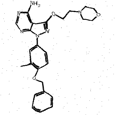 Cc1cc(-n2nc(OCCN3CCOCC3)c3c(N)ncnc32)ccc1OCc1ccccc1